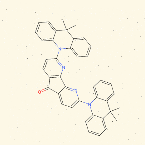 CC1(C)c2ccccc2N(c2ccc3c(n2)-c2nc(N4c5ccccc5C(C)(C)c5ccccc54)ccc2C3=O)c2ccccc21